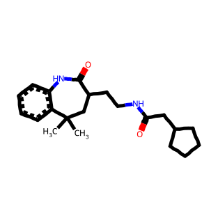 CC1(C)CC(CCNC(=O)CC2CCCC2)C(=O)Nc2ccccc21